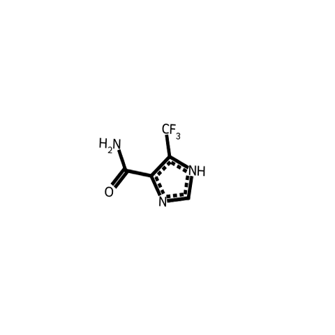 NC(=O)c1nc[nH]c1C(F)(F)F